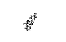 CC(C)(C)N(NC(=O)c1ccc(Cl)cc1)C(=O)c1ncncn1